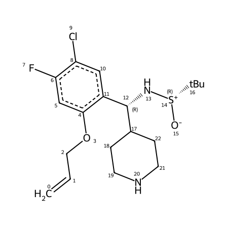 C=CCOc1cc(F)c(Cl)cc1[C@H](N[S@@+]([O-])C(C)(C)C)C1CCNCC1